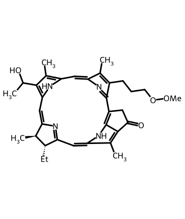 CC[C@H]1c2cc3[nH]c4c(c5nc(cc6[nH]c(cc(n2)[C@@H]1C)c(C(C)O)c6C)C(C)=C5CCCOOC)CC(=O)c4c3C